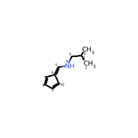 CC(C)CNC=C1C=CC=C1